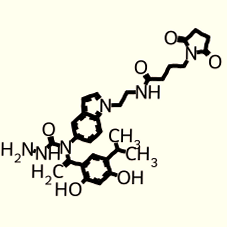 C=C(c1cc(C(C)C)c(O)cc1O)N(C(=O)NN)c1ccc2c(ccn2CCNC(=O)CCCN2C(=O)CCC2=O)c1